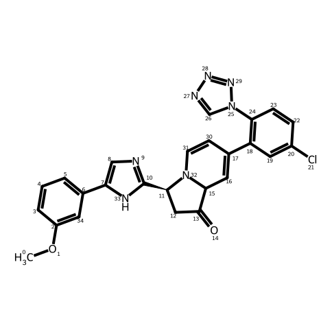 COc1cccc(-c2cnc([C@@H]3CC(=O)C4C=C(c5cc(Cl)ccc5-n5cnnn5)C=CN43)[nH]2)c1